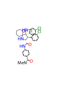 CNC(=O)c1ccc(NC(=O)[C@@H]2NC3(CCCCC3)[C@@]3(C(=O)Nc4cc(Cl)ccc43)[C@H]2c2cccc(Cl)c2F)cc1